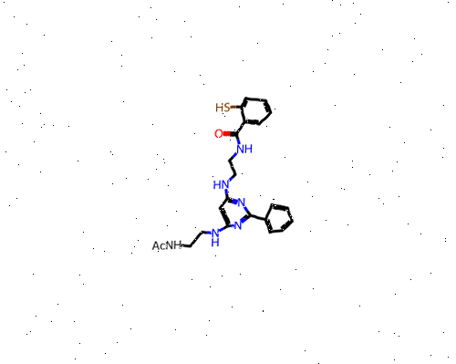 CC(=O)NCCNc1cc(NCCNC(=O)c2ccccc2S)nc(-c2ccccc2)n1